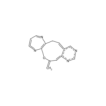 C=C1/C=c2/ncnc/c2=C/CC2=C(N=C=CC=N2)O1